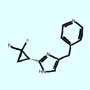 FC1(F)C[C@H]1c1nc(Cc2ccncc2)c[nH]1